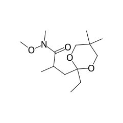 CCC1(CC(C)C(=O)N(C)OC)OCC(C)(C)CO1